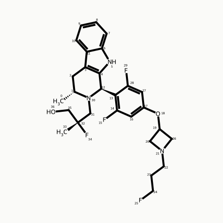 C[C@@H]1Cc2c([nH]c3ccccc23)[C@@H](c2c(F)cc(OC3CN(CCCF)C3)cc2F)N1C[C@](C)(F)CO